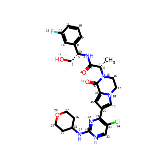 C[C@@H](C(=O)N[C@H](CO)c1cccc(F)c1)N1CCn2cc(-c3nc(NC4CCOCC4)ncc3Cl)cc2C1=O